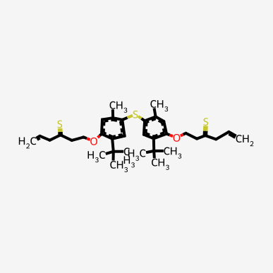 C=CCC(=S)CCOc1cc(C)c(Sc2cc(C(C)(C)C)c(OCCC(=S)CC=C)cc2C)cc1C(C)(C)C